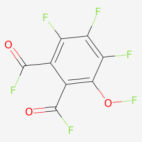 O=C(F)c1c(F)c(F)c(F)c(OF)c1C(=O)F